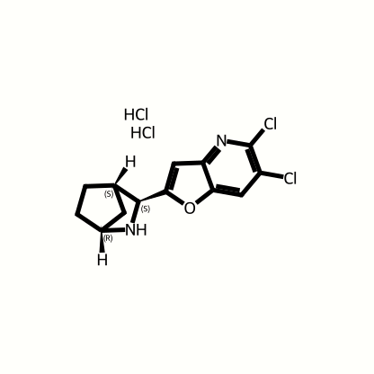 Cl.Cl.Clc1cc2oc([C@H]3N[C@@H]4CC[C@H]3C4)cc2nc1Cl